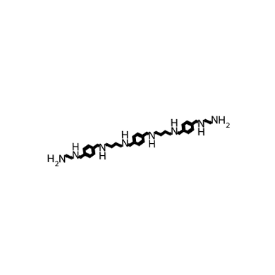 NCCNCc1ccc(CNCCCCNCc2ccc(CNCCCCNCc3ccc(CNCCN)cc3)cc2)cc1